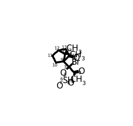 CC(=O)C(Br)(O[SH](=O)=O)C12CCC(CC1=O)C2(C)C